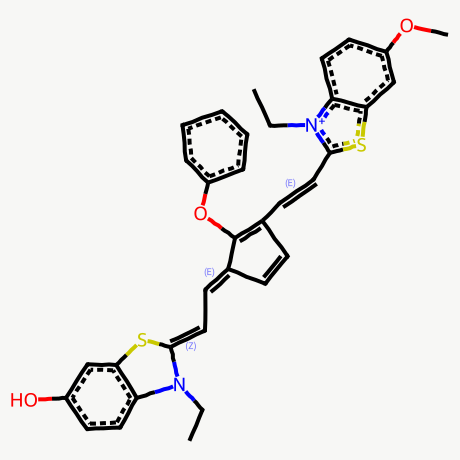 CCN1/C(=C/C=C2\C=CC(/C=C/c3sc4cc(OC)ccc4[n+]3CC)=C2Oc2ccccc2)Sc2cc(O)ccc21